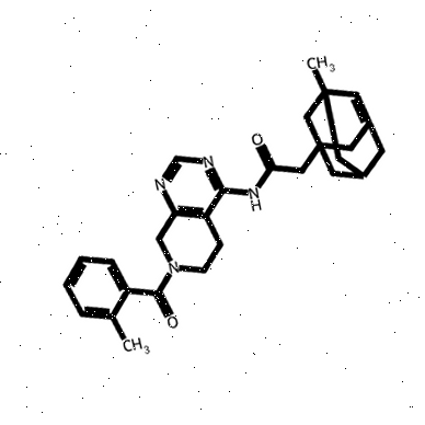 Cc1ccccc1C(=O)N1CCc2c(ncnc2NC(=O)CC23CC4=CC(C)(CC(C4)C2)C3)C1